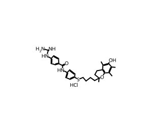 Cc1c(C)c2c(c(C)c1O)CCC(C)(CCCCSc1ccc(NC(=O)c3ccc(NC(=N)N)cc3)cc1)O2.Cl